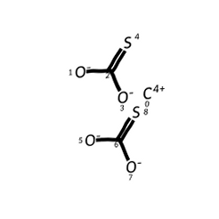 [C+4].[O-]C([O-])=S.[O-]C([O-])=S